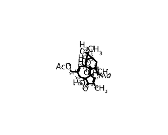 CC(=O)CCC(=O)O[C@@]12C[C@@H](C)C3[C@@H](C=C(COC(C)=O)C[C@]4(O)C(=O)C(C)=C[C@@H]34)[C@H]1C2(C)C